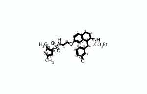 CCOC(=O)NC1CCc2ccc(OCCNS(=O)(=O)c3cc(C)sc3C)cc2C1Cc1cccc(Cl)c1